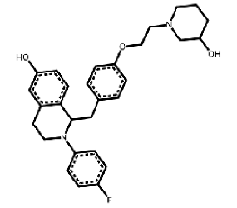 Oc1ccc2c(c1)CCN(c1ccc(F)cc1)C2Cc1ccc(OCCN2CCCC(O)C2)cc1